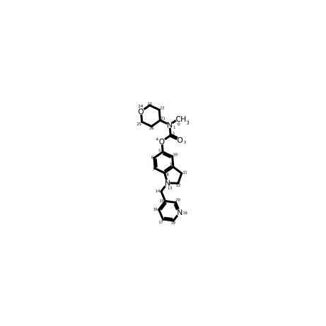 CN(C(=O)Oc1ccc2c(c1)CCN2Cc1cccnc1)C1CCOCC1